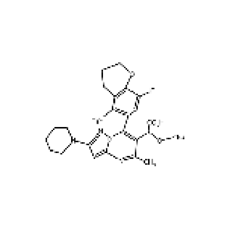 Cc1nc2cc(N3CCCCC3)nn2c(-c2cc(F)c3c(c2C)CCCO3)c1[C@H](OC(C)(C)C)C(=O)O